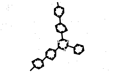 Cc1ccc(-c2ccc(-c3nc(-c4ccccc4)nc(-c4ccc(-c5ccc(C)cc5)cc4)n3)cc2)cc1